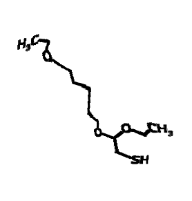 CCOCCCCCOC(CS)OCC